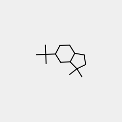 CC(C)(C)C1CCC2CCC(C)(C)C2C1